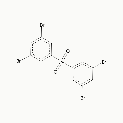 O=S(=O)(c1cc(Br)[c]c(Br)c1)c1cc(Br)[c]c(Br)c1